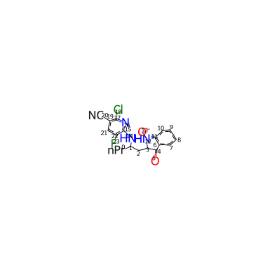 CCCC(CC1C(=O)c2ccccc2[NH+]1[O-])Nc1nc(Cl)c(C#N)cc1F